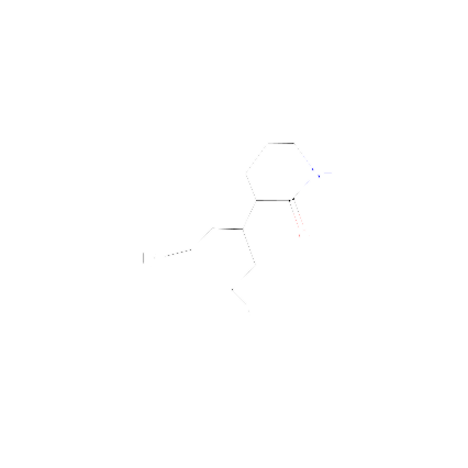 CCCC(CCC)C1CCCNC1=O